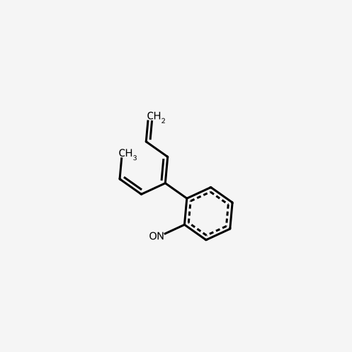 C=C/C=C(\C=C/C)c1ccccc1N=O